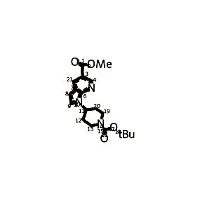 COC(=O)c1cnc2c(ccn2C2CCN(C(=O)OC(C)(C)C)CC2)c1